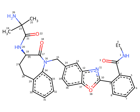 CCNC(=O)c1ccccc1-c1nc2cc(CN3C(=O)[C@H](NC(=O)C(C)(C)N)CCc4ccccc43)ccc2o1